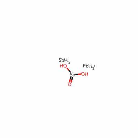 [O]=[Sn]([OH])[OH].[PbH2].[SbH3]